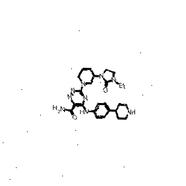 CCN1CCN(C2CCCN(c3nnc(C(N)=O)c(Nc4ccc(C5CCNCC5)cc4)n3)C2)C1=O